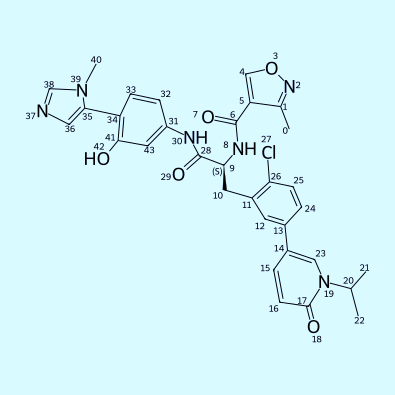 Cc1nocc1C(=O)N[C@@H](Cc1cc(-c2ccc(=O)n(C(C)C)c2)ccc1Cl)C(=O)Nc1ccc(-c2cncn2C)c(O)c1